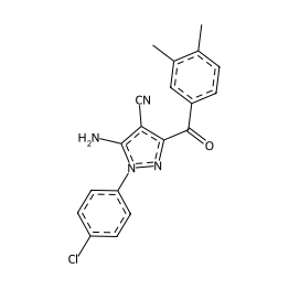 Cc1ccc(C(=O)c2nn(-c3ccc(Cl)cc3)c(N)c2C#N)cc1C